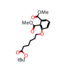 COC(=O)c1cccc(OCCCCCC(=O)OC(C)(C)C)c1C(=O)OC